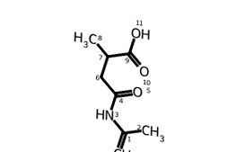 C=C(C)NC(=O)CC(C)C(=O)O